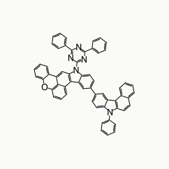 c1ccc(-c2nc(-c3ccccc3)nc(-n3c4ccc(-c5ccc6c(c5)c5c7ccccc7ccc5n6-c5ccccc5)cc4c4c5cccc6c5c(cc43)-c3ccccc3O6)n2)cc1